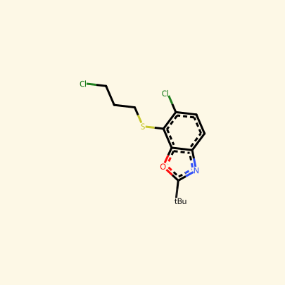 CC(C)(C)c1nc2ccc(Cl)c(SCCCCl)c2o1